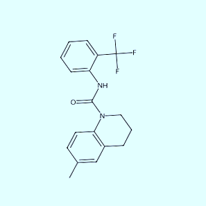 Cc1ccc2c(c1)CCCN2C(=O)Nc1ccccc1C(F)(F)F